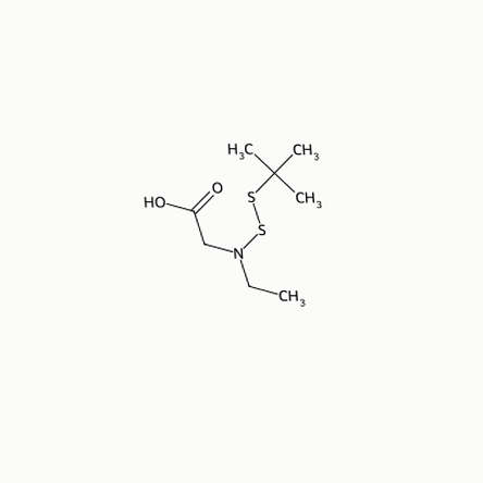 CCN(CC(=O)O)SSC(C)(C)C